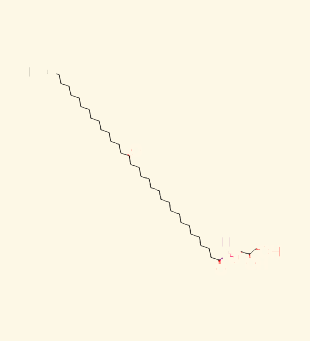 CCCCCCCCCCCCCCCC(=O)CCCCCCCCCCCCCCCCCC(=O)POCC(O)CO